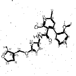 COc1cnccc1-c1cc(C)nc(Cl)c1C(=O)Nc1nnc(OC[C@H]2CCO[C@H]2C)s1